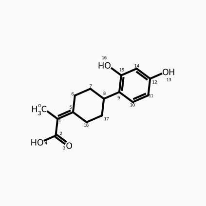 CC(C(=O)O)=C1CCC(c2ccc(O)cc2O)CC1